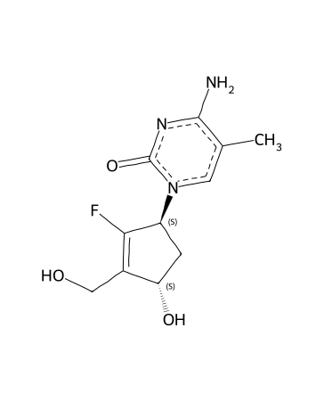 Cc1cn([C@H]2C[C@H](O)C(CO)=C2F)c(=O)nc1N